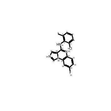 Cc1cccc(Cl)c1Nc1nc2ccc(F)cc2n2cncc12